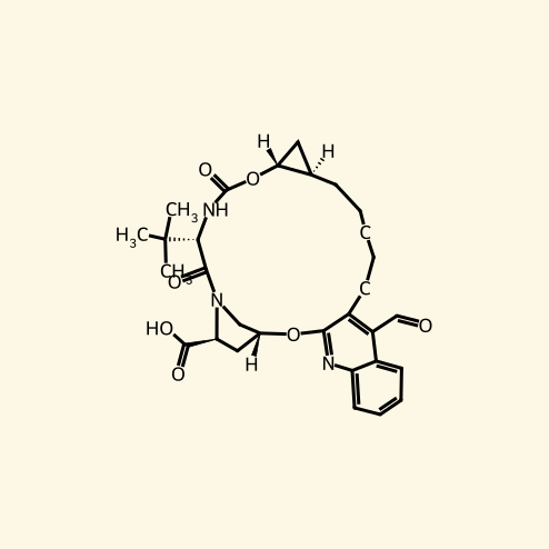 CC(C)(C)[C@@H]1NC(=O)O[C@@H]2C[C@H]2CCCCCc2c(nc3ccccc3c2C=O)O[C@@H]2C[C@@H](C(=O)O)N(C2)C1=O